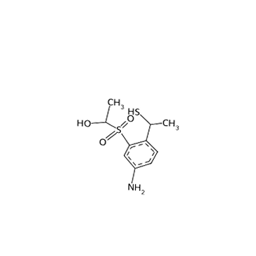 CC(S)c1ccc(N)cc1S(=O)(=O)C(C)O